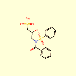 O=C(c1ccccc1)N(CC(O)CS(=O)(=O)O)S(=O)(=O)c1ccccc1